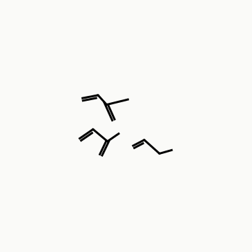 C=CC(=C)C.C=CC(=C)C.C=CCC